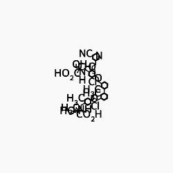 Cc1cc(OCc2cccc(-c3cccc(COc4cc(OCc5cncc(C#N)c5)c(CNC(C)(CO)C(=O)O)cc4Cl)c3C)c2C)c(Cl)cc1CN[C@@](C)(CO)C(=O)O